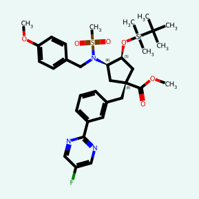 COC(=O)[C@@]1(Cc2cccc(-c3ncc(F)cn3)c2)C[C@H](O[Si](C)(C)C(C)(C)C)[C@H](N(Cc2ccc(OC)cc2)S(C)(=O)=O)C1